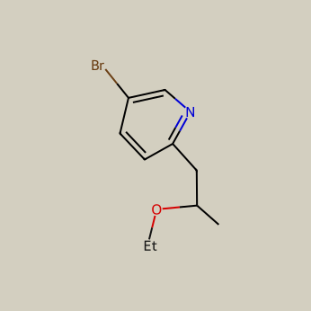 CCOC(C)Cc1ccc(Br)cn1